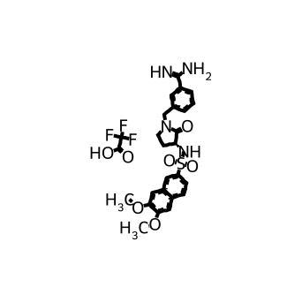 COc1cc2ccc(S(=O)(=O)N[C@H]3CCN(Cc4cccc(C(=N)N)c4)C3=O)cc2cc1OC.O=C(O)C(F)(F)F